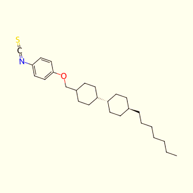 CCCCCCC[C@H]1CC[C@H](C2CCC(COc3ccc(N=C=S)cc3)CC2)CC1